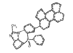 Cc1nc2cccc3c2n1-c1ccc(-c2ccc4c5cccc6cccc(c7cccc2c74)c65)cc1P3(=O)c1ccccc1